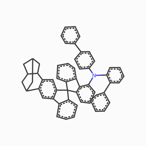 c1ccc(-c2ccc(N(c3ccccc3-c3ccccc3)c3cccc4c3-c3ccccc3C43c4ccccc4-c4cc5c(cc43)C3CC4CC5CC3C4)cc2)cc1